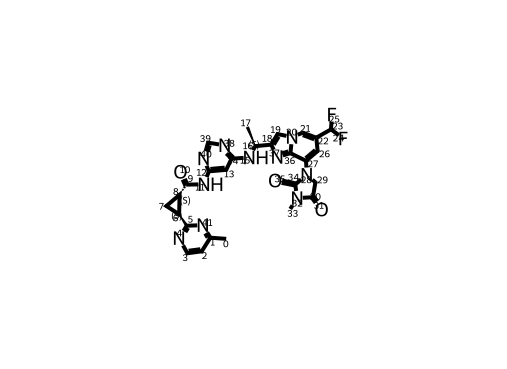 Cc1ccnc([C@H]2C[C@@H]2C(=O)Nc2cc(N[C@@H](C)c3cn4cc(C(F)F)cc(N5CC(=O)N(C)C5=O)c4n3)ncn2)n1